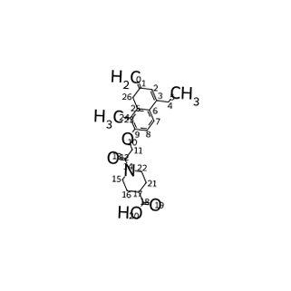 C=C1C=C(CC)c2ccc(OCC(=O)N3CCC(C(=O)O)CC3)c(C)c2C1